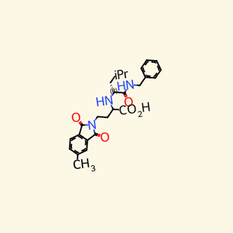 Cc1ccc2c(c1)C(=O)N(CCC(N[C@H](CC(C)C)C(=O)NCc1ccccc1)C(=O)O)C2=O